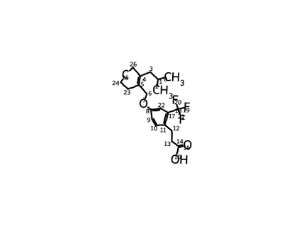 CC(C)CC1=C(COc2ccc(CCC(=O)O)c(C(F)(F)F)c2)CCCC1